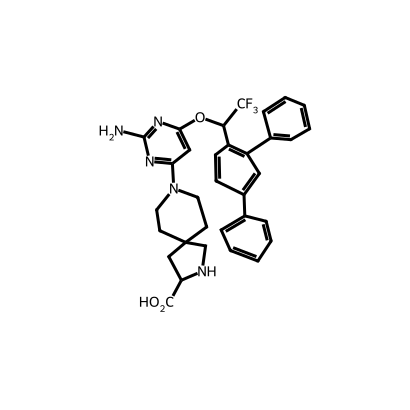 Nc1nc(OC(c2ccc(-c3ccccc3)cc2-c2ccccc2)C(F)(F)F)cc(N2CCC3(CC2)CNC(C(=O)O)C3)n1